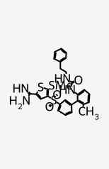 CSc1sc(C(=N)N)cc1S(=O)(=O)c1cccc(-c2c(C)cccc2NC(=O)NCCc2ccccc2)c1